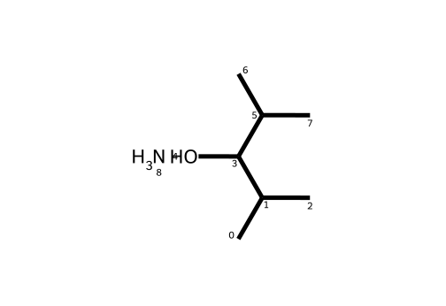 CC(C)C(O)C(C)C.N